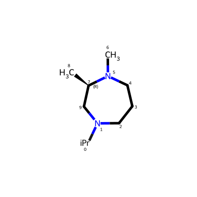 CC(C)N1CCCN(C)[C@H](C)C1